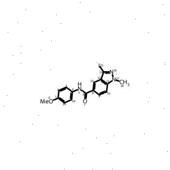 COc1ccc(NC(=O)c2ccc3c(c2)c(I)nn3C)cc1